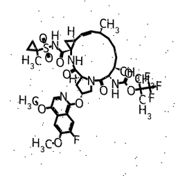 COc1cc2c(OC)cnc(O[C@@H]3C[C@H]4C(=O)N[C@]5(C(=O)NS(=O)(=O)C6(C)CC6)C[C@H]5/C=C\[C@@H](C)CCC[C@@H](C)[C@H](NC(=O)OC(C)(C)C(F)(F)F)C(=O)N4C3)c2cc1F